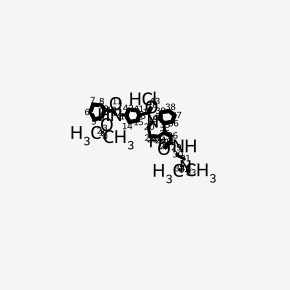 CC(C)Oc1ccccc1C(=O)Nc1ccc(C(=O)N2CCC(F)(F)/C(=C\C(=O)NCCN(C)C)c3ccccc32)cc1.Cl